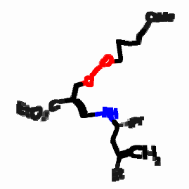 C=C(CC)C[C@H](N/C=C(\COOCCCOC)C(=O)OCC)C(C)C